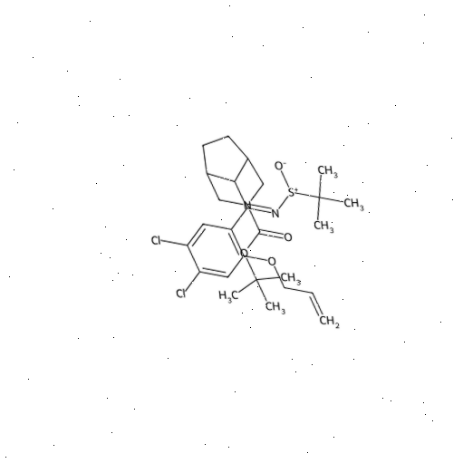 C=CCOc1cc(Cl)c(Cl)cc1C(=N[S+]([O-])C(C)(C)C)C1C2CCC1CN(C(=O)OC(C)(C)C)C2